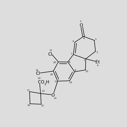 CCC12CCC(=O)C=C1c1c(cc(OC3(C(=O)O)CCC3)c(Cl)c1Cl)C2